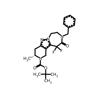 C[C@@H]1Cc2nn3c(c2CN1C(=O)OC(C)(C)C)C(F)(F)C(=O)N(Cc1ccccc1)CC3